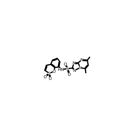 Cc1cc(C)n2nc(S(=O)(=O)Nc3cccc4c3OS(=O)(=O)C=C4)nc2n1